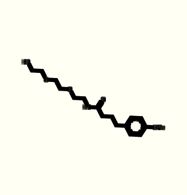 COc1ccc(CCCC(=O)NCCOCCOCCO)cc1